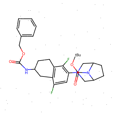 CC(C)(C)OC(=O)N1C2CCC1CN(c1cc(F)c3c(c1F)CCC(NC(=O)OCc1ccccc1)C3)C2